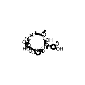 C=CC[C@H]1C=C(C)C[C@H](C)C[C@H](OC)[C@H]2O[C@@](O)(C(=O)C(=O)N3CCCC[C@H]3C(=O)O[C@H](C(C)=C[C@@H]3CC[C@@H](O)[C@H](OC)C3)[C@H](C)[C@@H](O)CC1=O)[C@H](C)C[C@@H]2OC